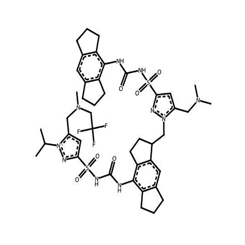 CC(C)n1nc(S(=O)(=O)NC(=O)Nc2c3c(cc4c2CCC4Cn2nc(S(=O)(=O)NC(=O)Nc4c5c(cc6c4CCC6)CCC5)cc2CN(C)C)CCC3)cc1CN(C)CC(F)(F)F